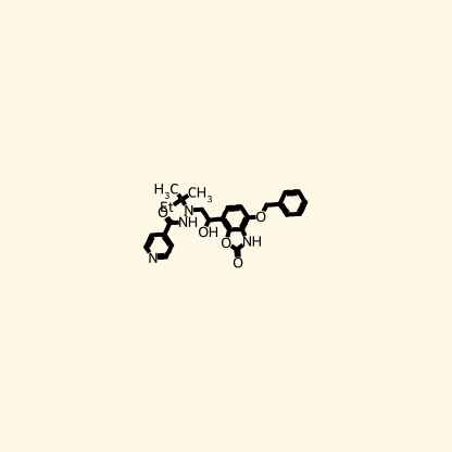 CCC(C)(C)N(CC(O)c1ccc(OCc2ccccc2)c2[nH]c(=O)oc12)NC(=O)c1ccncc1